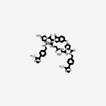 Cc1ncsc1-c1ccc(CNC[C@@H]2C[C@@H](O)CN2C(=O)[C@H](C(C)C)N2Cc3cc(O[C@@H]4C[C@@H](C(=O)NCc5ccc(-c6scnc6C)cc5)N(C(=O)[C@@H](NC(=O)CNC(=O)OC(C)(C)C)C(C)(C)C)C4)ccc3C2=O)cc1